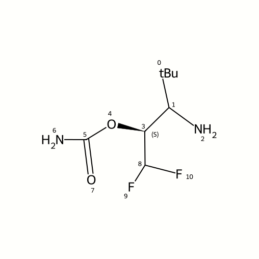 CC(C)(C)C(N)[C@H](OC(N)=O)C(F)F